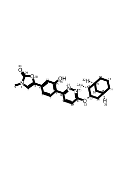 Cn1cc(-c2ccc(-c3ccc(O[C@H]4C[C@@H]5CCC[C@@H](C5)[C@H]4F)nn3)c(O)c2)oc1=O